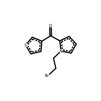 O=C(c1ccsc1)c1cccn1CCBr